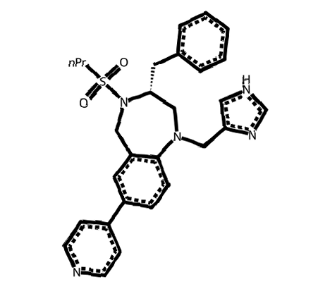 CCCS(=O)(=O)N1Cc2cc(-c3ccncc3)ccc2N(Cc2c[nH]cn2)C[C@H]1Cc1ccccc1